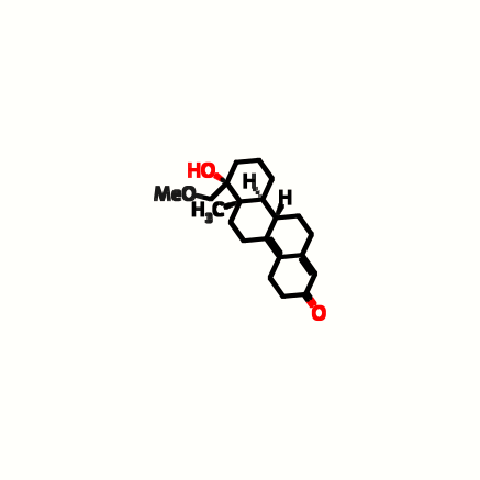 COC[C@]1(O)CCC[C@H]2[C@@H]3CCC4=CC(=O)CCC4=C3CC[C@@]21C